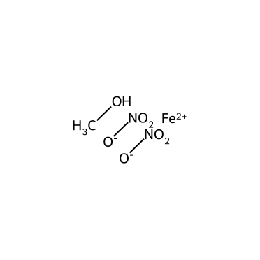 CO.O=[N+]([O-])[O-].O=[N+]([O-])[O-].[Fe+2]